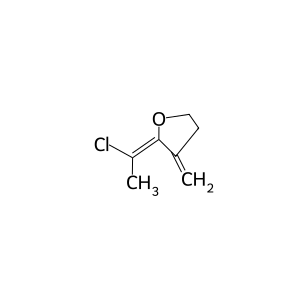 C=C1CCO/C1=C(/C)Cl